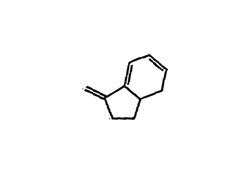 [CH]=C1[CH]CC2CC=CC=C12